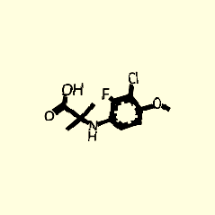 COc1ccc(NC(C)(C)C(=O)O)c(F)c1Cl